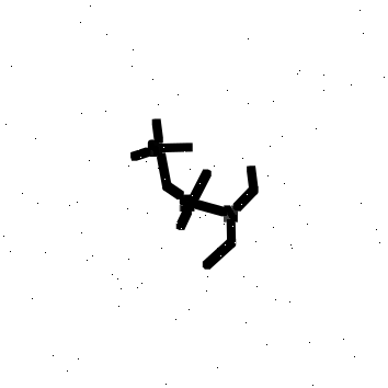 CCN(CC)[Si](C)(C)C[Si](C)(C)C